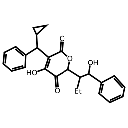 CCC(C1OC(=O)C(C(c2ccccc2)C2CC2)=C(O)C1=O)C(O)c1ccccc1